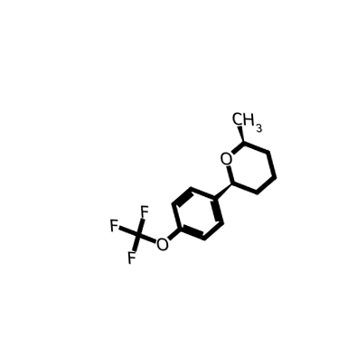 C[C@H]1CCC[C@@H](c2ccc(OC(F)(F)F)cc2)O1